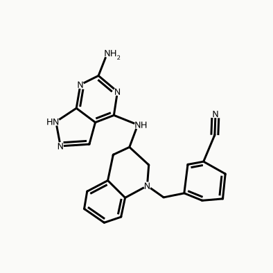 N#Cc1cccc(CN2CC(Nc3nc(N)nc4[nH]ncc34)Cc3ccccc32)c1